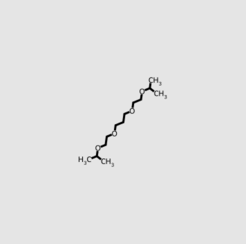 CC(C)OCCOCCCOCCOC(C)C